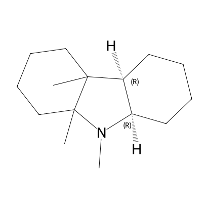 CN1[C@@H]2CCCC[C@@H]2C2(C)CCCCC12C